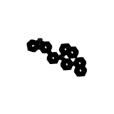 c1cc(-c2ccc3oc4ccccc4c3c2)cc(N(c2cccc(-c3cccc4ccccc34)c2)c2cccc3ccccc23)c1